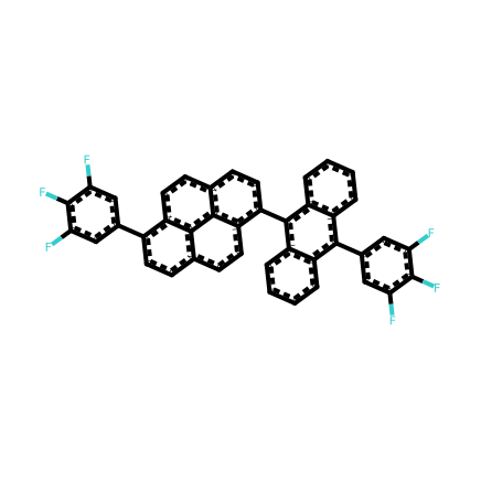 Fc1cc(-c2c3ccccc3c(-c3ccc4ccc5c(-c6cc(F)c(F)c(F)c6)ccc6ccc3c4c65)c3ccccc23)cc(F)c1F